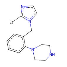 CCc1nccn1Cc1ccccc1N1CCNCC1